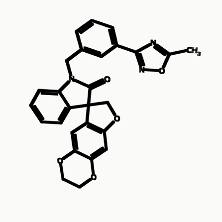 Cc1nc(-c2cccc(CN3C(=O)C4(COc5cc6c(cc54)OCCO6)c4ccccc43)c2)no1